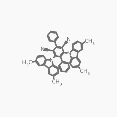 Cc1ccc2c(c1)c1cc(C)ccc1n2-c1c(C#N)c(-c2ccccc2)c(C#N)c(-n2c3ccc(C)cc3c3cc(C)ccc32)c1-c1ccccc1